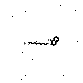 CCCCCCCCCCOc1ccc2ccccc2c1O